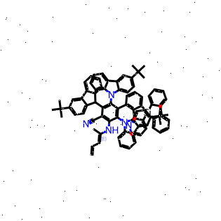 C=C/C=C(\C)Nc1c(C#N)c(C2c3ccccc3-c3cc(C(C)(C)C)ccc32)c(-n2c3ccccc3c3cc(C(C)(C)C)ccc32)c(-c2cccc3c2-c2ncccc2[Si]32c3ccccc3-c3ccccc32)c1-n1c2ccccc2c2cc(C(C)(C)C)ccc21